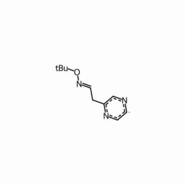 CC(C)(C)ON=CCc1cn[c]cn1